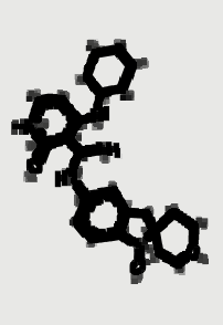 N=C(Nc1ccc2c(c1)CC1(CCOCC1)[S+]2[O-])c1c(NC2CCCCC2)cc[nH]c1=O